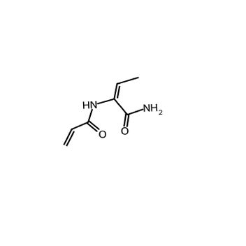 C=CC(=O)NC(=CC)C(N)=O